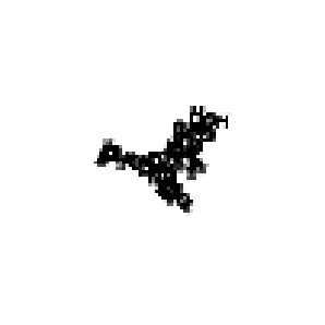 COc1ccc2nc(C(F)(F)COCC[C@H]3CCC4CC43)c(OC3CN(C(=O)CNC(=O)O)[C@H](C(=O)C(C)C)[C@@H]3C)nc2c1